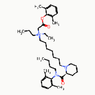 CCCCN(C(=O)[C@@H]1CCCCN1CCCCCCC[N+](CC)(CCC)CC(=O)Oc1c(C)cccc1C)c1c(C)cccc1C